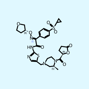 C[C@H]1CN(Cc2cnc(NC(=O)/C(=N/O[C@@H]3CCOC3)c3ccc(S(=O)(=O)C4CC4)cc3)s2)CCN1C(=O)[C@H]1CCC(=O)O1